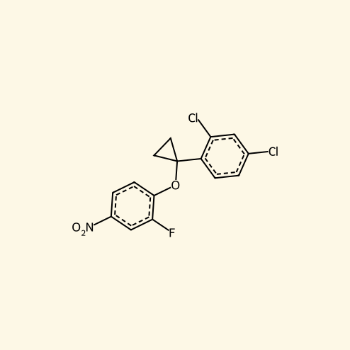 O=[N+]([O-])c1ccc(OC2(c3ccc(Cl)cc3Cl)CC2)c(F)c1